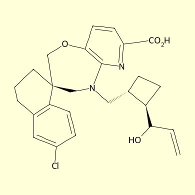 C=CC(O)[C@@H]1CC[C@H]1CN1C[C@@]2(CCCc3cc(Cl)ccc32)COc2ccc(C(=O)O)nc21